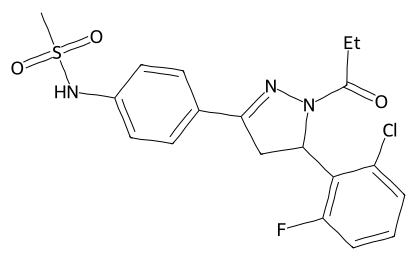 CCC(=O)N1N=C(c2ccc(NS(C)(=O)=O)cc2)CC1c1c(F)cccc1Cl